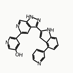 Oc1cncc(-c2cc3c(-c4cc5c(-c6cccnc6)cccc5[nH]4)n[nH]c3cn2)c1